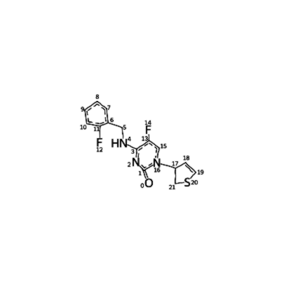 O=c1nc(NCc2ccccc2F)c(F)cn1C1C=CSC1